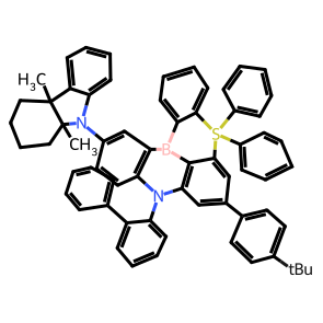 CC(C)(C)c1ccc(-c2cc3c4c(c2)S(c2ccccc2)(c2ccccc2)c2ccccc2B4c2cc(N4c5ccccc5C5(C)CCCCC45C)ccc2N3c2ccccc2-c2ccccc2)cc1